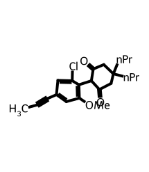 CC#Cc1cc(Cl)c(C2C(=O)CC(CCC)(CCC)CC2=O)c(OC)c1